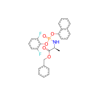 C[C@H](NP(=O)(Oc1c(F)cccc1F)Oc1cccc2ccccc12)C(=O)OCc1ccccc1